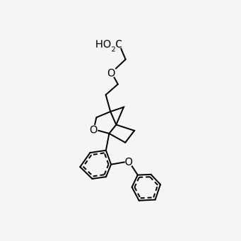 O=C(O)COCCC12COC3(c4ccccc4Oc4ccccc4)CCC13C2